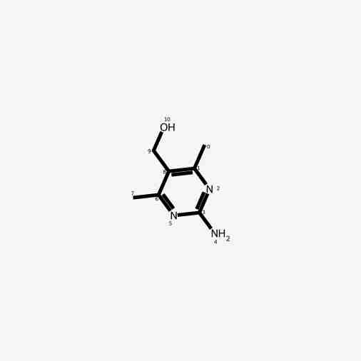 Cc1nc(N)nc(C)c1CO